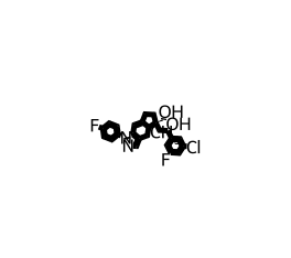 C[C@]12Cc3cnn(-c4ccc(F)cc4)c3C=C1CC[C@@]2(CO)CC(O)c1cc(F)cc(Cl)c1